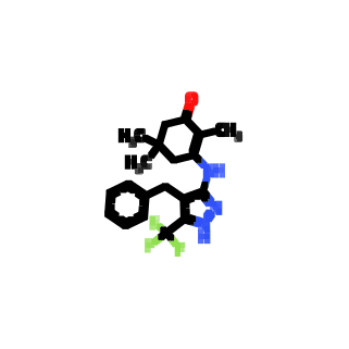 CC1=C(Nc2n[nH]c(C(F)(F)F)c2Cc2ccccc2)CC(C)(C)CC1=O